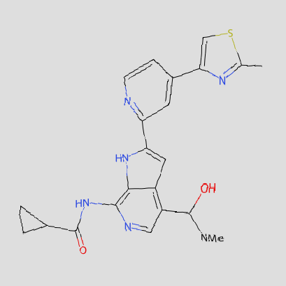 CNC(O)c1cnc(NC(=O)C2CC2)c2[nH]c(-c3cc(-c4csc(C)n4)ccn3)cc12